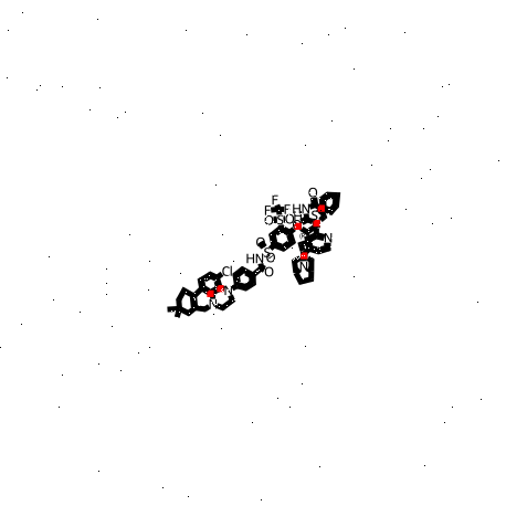 CC1(C)CCC(c2ccc(Cl)cc2)=C(CN2CCN(c3ccc(C(=O)NS(=O)(=O)c4ccc(N[C@H](CCN5CC6CCC(C5)N6Cc5ccnc(N6CCC(=O)NC6=O)c5)CSc5ccccc5)c(S(=O)(=O)C(F)(F)F)c4)cc3)CC2)C1